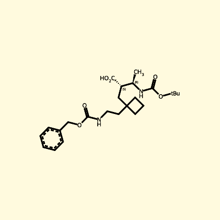 C[C@@H](NC(=O)OC(C)(C)C)[C@H](CC1(CCNC(=O)OCc2ccccc2)CCC1)C(=O)O